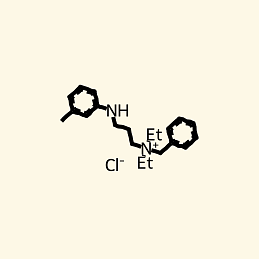 CC[N+](CC)(CCCNc1cccc(C)c1)Cc1ccccc1.[Cl-]